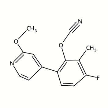 COc1cc(-c2ccc(F)c(C)c2OC#N)ccn1